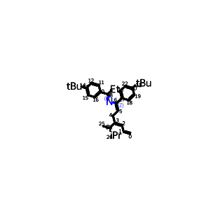 C=CC=C(C/C=C(\N=C(/CC)c1ccc(C(C)(C)C)cc1)c1ccc(C(C)(C)C)cc1)[C@H](C)C(C)C